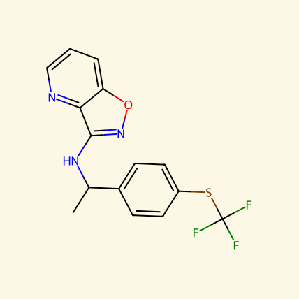 CC(Nc1noc2cccnc12)c1ccc(SC(F)(F)F)cc1